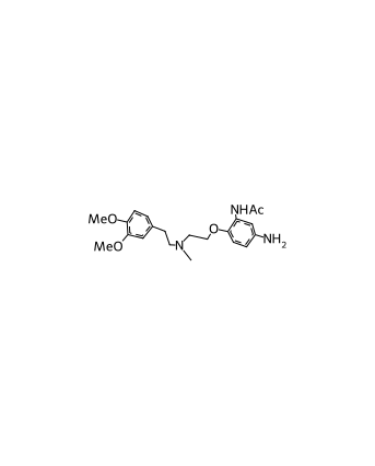 COc1ccc(CCN(C)CCOc2ccc(N)cc2NC(C)=O)cc1OC